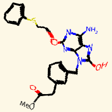 COC(=O)Cc1cccc(Cn2c(O)nc3c(N)nc(OCCSc4ccccc4)nc32)c1